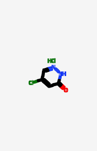 Cl.O=c1cc(Cl)cn[nH]1